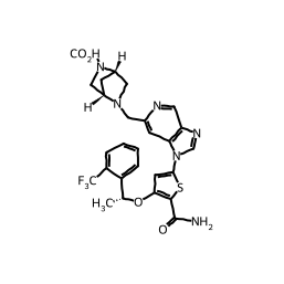 C[C@@H](Oc1cc(-n2cnc3cnc(CN4C[C@@H]5C[C@H]4CN5C(=O)O)cc32)sc1C(N)=O)c1ccccc1C(F)(F)F